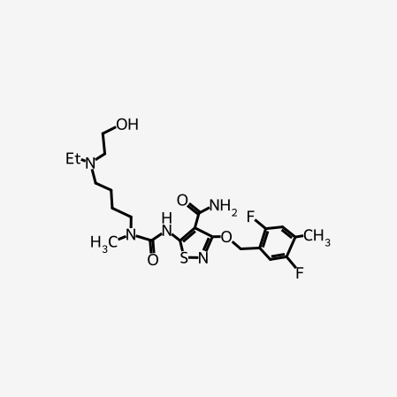 CCN(CCO)CCCCN(C)C(=O)Nc1snc(OCc2cc(F)c(C)cc2F)c1C(N)=O